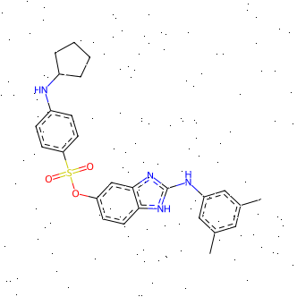 Cc1cc(C)cc(Nc2nc3cc(OS(=O)(=O)c4ccc(NC5CCCC5)cc4)ccc3[nH]2)c1